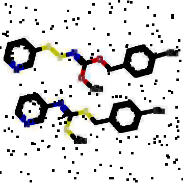 CCCCO/C(=N\SSc1cccnc1)OCc1ccc(C(C)(C)C)cc1.CCCCS/C(=N\c1cccnc1)SCc1ccc(C(C)(C)C)cc1